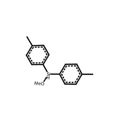 CO[SiH](c1ccc(C)cc1)c1ccc(C)cc1